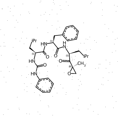 CC(C)C[C@H](NC(=O)Nc1ccccc1)C(=O)N[C@@H](Cc1ccccc1)C(=O)N[C@@H](CC(C)C)C(=O)[C@@]1(C)CO1